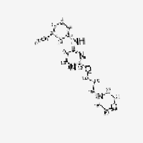 C#Cc1cccc(Nc2ccnc(OCCCN3CCOCC3)n2)c1